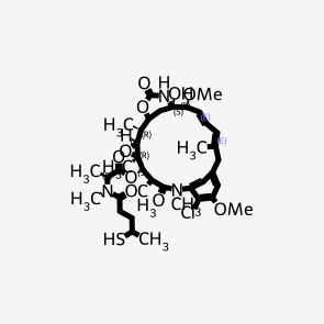 COc1cc2cc(c1Cl)N(C)C(=O)C(C)[C@H](OC(=O)[C@H](C)N(C)C(=O)CCC(C)S)[C@]1(C)O[C@H]1[C@H](C)C1C[C@@](O)(NC(=O)O1)[C@H](OC)/C=C/C=C(\C)C2